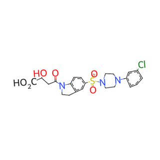 O=C(O)C(O)CC(=O)N1CCc2cc(S(=O)(=O)N3CCN(c4cccc(Cl)c4)CC3)ccc21